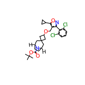 CC(C)(C)OC(=O)N1[C@@H]2CC[C@H]1CC1(CC(OCc3c(-c4c(Cl)cccc4Cl)noc3C3CC3)C1)C2